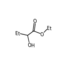 CCOC(=O)C(O)CC